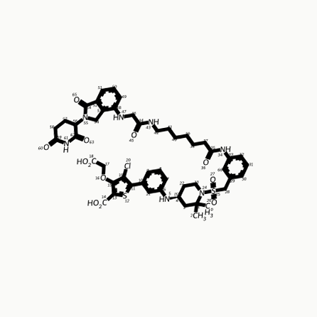 CC1(C)C[C@@H](Nc2cccc(-c3sc(C(=O)O)c(OCC(=O)O)c3Cl)c2)CCN1S(=O)(=O)Cc1cccc(NC(=O)CCCCCCNC(=O)CNc2cccc3c2CN(C2CCC(=O)NC2=O)C3=O)c1